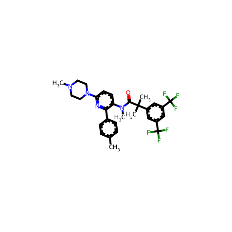 Cc1ccc(-c2nc(N3CCN(C)CC3)ccc2N(C)C(=O)C(C)(C)c2cc(C(F)(F)F)cc(C(F)(F)F)c2)cc1